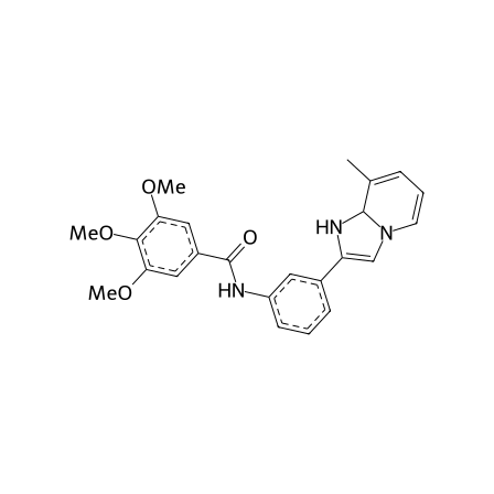 COc1cc(C(=O)Nc2cccc(C3=CN4C=CC=C(C)C4N3)c2)cc(OC)c1OC